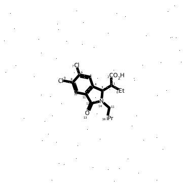 CCC(C(=O)O)C1c2cc(Cl)c(Cl)cc2C(=O)N1CC(C)C